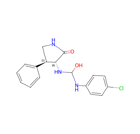 O=C1NC[C@H](c2ccccc2)[C@H]1NC(O)Nc1ccc(Cl)cc1